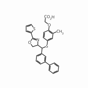 Cc1cc(SC(c2cccc(-c3ccccc3)c2)C2COC(c3cccs3)=N2)ccc1OCC(=O)O